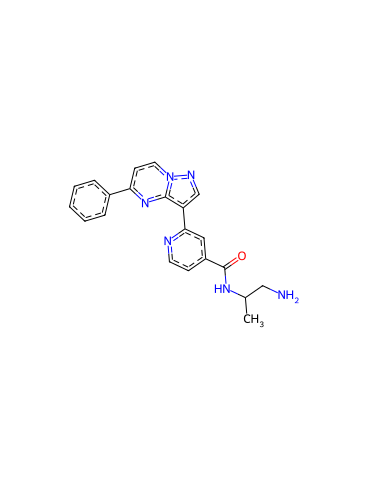 CC(CN)NC(=O)c1ccnc(-c2cnn3ccc(-c4ccccc4)nc23)c1